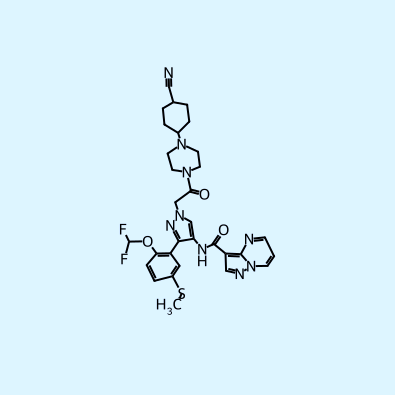 CSc1ccc(OC(F)F)c(-c2nn(CC(=O)N3CCN(C4CCC(C#N)CC4)CC3)cc2NC(=O)c2cnn3cccnc23)c1